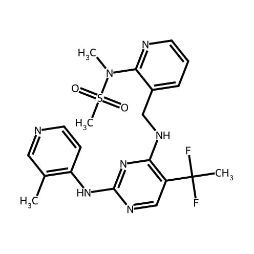 Cc1cnccc1Nc1ncc(C(C)(F)F)c(NCc2cccnc2N(C)S(C)(=O)=O)n1